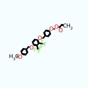 C=CC(=O)OCOc1ccc(COc2ccc(OCc3ccc(OC)cc3)c(C(F)(F)F)c2C(F)(F)F)cc1